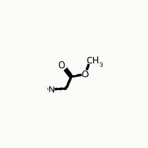 COC(=O)C[N]